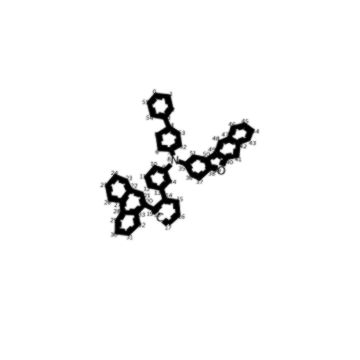 c1ccc(-c2ccc(N(c3cccc(-c4ccccc4-c4cc5ccccc5c5ccccc45)c3)c3ccc4oc5cc6ccccc6cc5c4c3)cc2)cc1